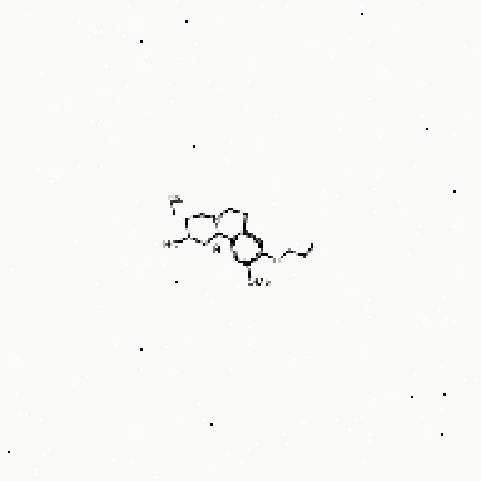 COc1cc2c(cc1OCCF)CCN1C[C@@H](CC(C)(C)C)C(O)C[C@H]21